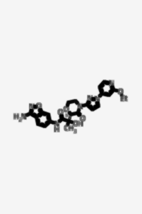 CCOc1cc(-n2ccc(N3CCO[C@H](C(C)(O)C(=O)Nc4ccc5c(N)noc5c4)C3=O)n2)ccn1